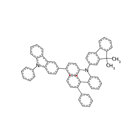 CC1(C)c2ccccc2-c2ccc(N(c3ccc(-c4ccc5c(c4)c4ccccc4n5-c4ccccc4)cc3)c3ccccc3-c3ccccc3-c3ccccc3)cc21